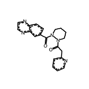 O=C(Cc1ccccn1)N1CCCCN1C(=O)c1ccc2nccnc2c1